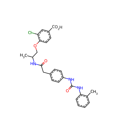 Cc1ccccc1NC(=O)Nc1ccc(CC(=O)NC(C)COc2ccc(C(=O)O)cc2Cl)cc1